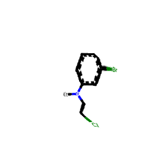 CCN(CCCl)c1cccc(Br)c1